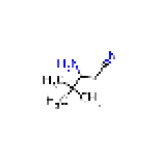 CC(C)(C)C(N)CC#N